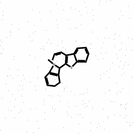 C/C=C\c1c(C2C3=C(C=CCC3)N2C)sc2ccccc12